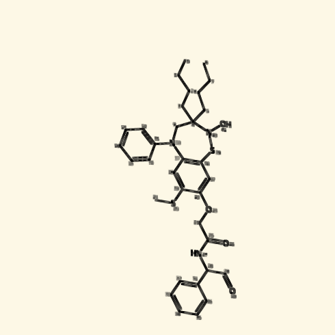 CCCCC1(CCCC)CN(c2ccccc2)c2cc(SC)c(OCC(=O)NC(C=O)c3ccccc3)cc2SN1O